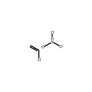 C=CCl.Cl[SiH](Cl)Cl